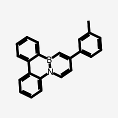 Cc1cccc(C2=CB3c4ccccc4-c4ccccc4N3C=C2)c1